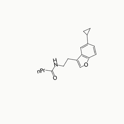 CCCC(=O)NCCc1coc2ccc(C3CC3)cc12